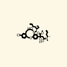 C=CC[C@H](C)N(C)C(=O)CC(O)(C(=O)OC)c1ccc2c(c1)N(C[C@@H]1CC[C@H]1[C@@H](O)C=C)CCCCc1cc(Cl)ccc1CO2